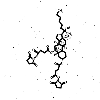 CCCCCC[C@](C)(O)[C@H]1CC[C@H]2[C@@H]3C[C@H](OC(=O)CCC(=O)ON4C(=O)CCC4=O)[C@H]4C[C@@H](OC(=O)CCC(=O)ON5C(=O)CCC5=O)CC[C@]4(C)[C@H]3CC[C@@]21C